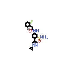 CCc1cccc(F)c1CC(=O)Nc1ccc(-c2cnn(C3CC3)c2)c([S+](N)[O-])c1